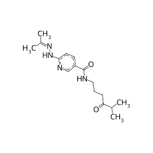 CC(C)=NNc1ccc(C(=O)NCCCC(=O)C(C)C)cn1